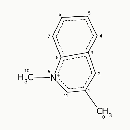 Cc1cc2ccccc2[n+](C)c1